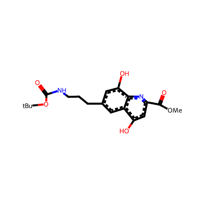 COC(=O)c1cc(O)c2cc(CCCNC(=O)OC(C)(C)C)cc(O)c2n1